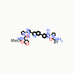 COC(=O)N[C@H](C(=O)N1CCC[C@H]1c1ncc(-c2cnc3cc(-c4ccc5nc([C@@H]6CCCN6C(=O)[C@@H](N)C(C)C)[nH]c5c4)ccc3c2)[nH]1)C1CCOCC1